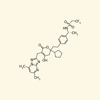 Cc1cc(C)n2nc(CC3=C(O)CC(CCc4ccc([C@@H](C)NS(=O)(=O)CC(F)(F)F)cc4)(C4CCCC4)OC3=O)nc2n1